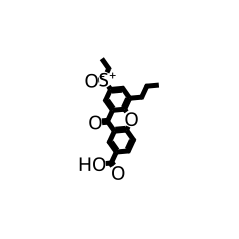 CCCc1cc([S+]([O-])CC)cc2c(=O)c3cc(C(=O)O)ccc3oc12